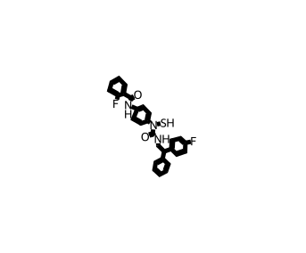 O=C(Nc1ccc(N(S)C(=O)NCC(c2ccccc2)c2ccc(F)cc2)cc1)c1ccccc1F